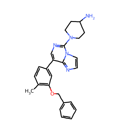 Cc1ccc(-c2cnc(N3CCC(N)CC3)n3ccnc23)cc1OCc1ccccc1